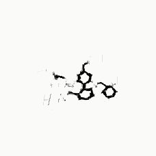 CCc1cc(OCC(=O)O)c2c3c(C(N)=O)cccc3n(Cc3ccccc3Cl)c2c1